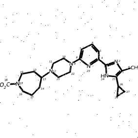 Cc1nc(-c2cccc(N3CCN(C4CCCN(C(=O)O)CC4)CC3)n2)[nH]c1C1CC1